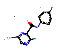 O=C(Nc1ccc(F)cc1)c1nc(C(F)(F)F)cnc1F